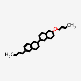 C=CCCc1ccc2c(c1)CCC(C1CCC3CC(OCC=CC)CCC3C1)C2